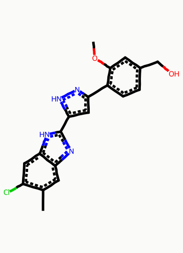 COc1cc(CO)ccc1-c1cc(-c2nc3cc(C)c(Cl)cc3[nH]2)[nH]n1